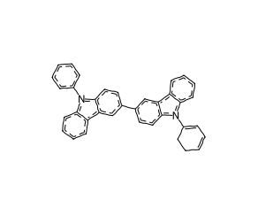 C1=CCCC(n2c3ccccc3c3cc(-c4ccc5c(c4)c4ccccc4n5-c4ccccc4)ccc32)=C1